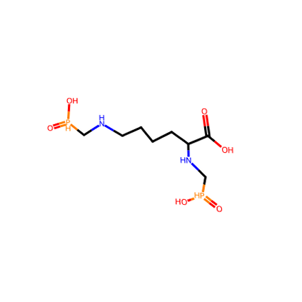 O=C(O)C(CCCCNC[PH](=O)O)NC[PH](=O)O